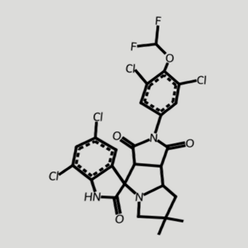 CC1(C)CC2C3C(=O)N(c4cc(Cl)c(OC(F)F)c(Cl)c4)C(=O)C3C3(C(=O)Nc4c(Cl)cc(Cl)cc43)N2C1